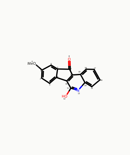 COc1ccc2c(c1)C(=O)c1c-2c(O)nc2ccccc12